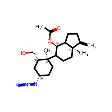 C=C1CCC2[C@H](OC(C)=O)C([C@@]3(C)CC[C@H](N=[N+]=[N-])C[C@@H]3CO)CC[C@]12C